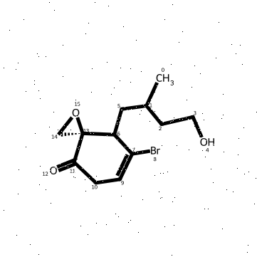 CC(CCO)CC1C(Br)=CCC(=O)[C@]12CO2